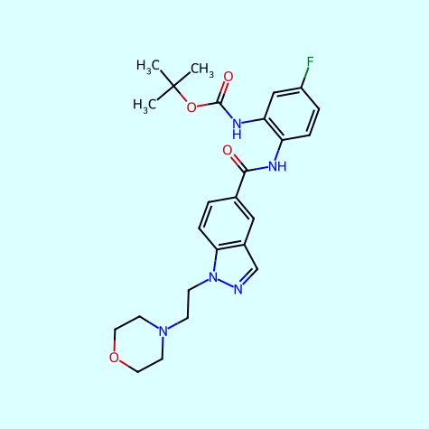 CC(C)(C)OC(=O)Nc1cc(F)ccc1NC(=O)c1ccc2c(cnn2CCN2CCOCC2)c1